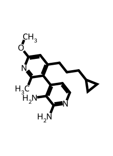 COc1cc(CCCC2CC2)c(-c2ccnc(N)c2N)c(C)n1